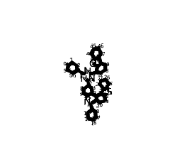 c1ccc(-c2nc(-c3ccc4nc(-c5ccccc5)c5ccc6sc7ccccc7c6c5c4c3)nc(-c3cccc4c3oc3ccccc34)n2)cc1